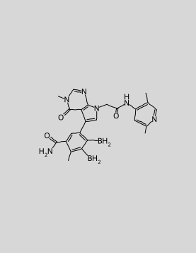 Bc1c(-c2cn(CC(=O)Nc3cc(C)ncc3C)c3ncn(C)c(=O)c23)cc(C(N)=O)c(C)c1B